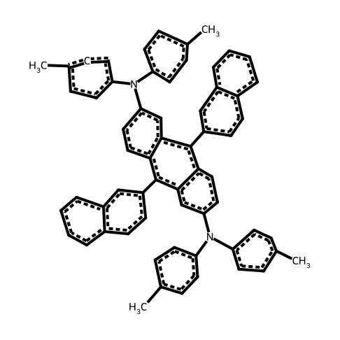 Cc1ccc(N(c2ccc(C)cc2)c2ccc3c(-c4ccc5ccccc5c4)c4cc(N(c5ccc(C)cc5)c5ccc(C)cc5)ccc4c(-c4ccc5ccccc5c4)c3c2)cc1